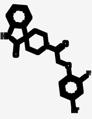 O=C(COc1ccc(Br)cc1F)N1CCC2(CC1)C(=O)Nc1ccccc12